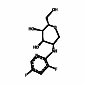 OC[C@H]1OC[C@@H](Nc2ncc(F)cc2F)[C@@H](O)[C@H]1O